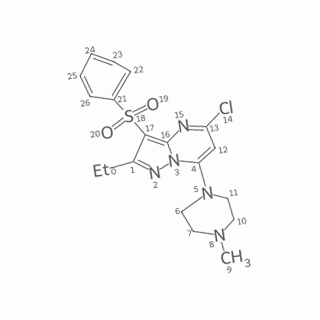 CCc1nn2c(N3CCN(C)CC3)cc(Cl)nc2c1S(=O)(=O)c1ccccc1